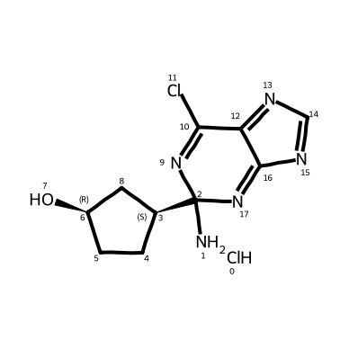 Cl.NC1([C@H]2CC[C@@H](O)C2)N=C(Cl)C2=NC=NC2=N1